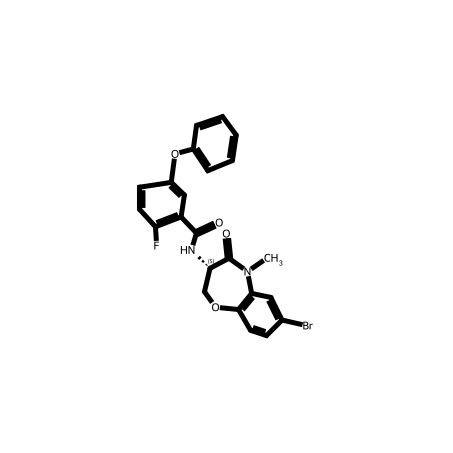 CN1C(=O)[C@@H](NC(=O)c2cc(Oc3ccccc3)ccc2F)COc2ccc(Br)cc21